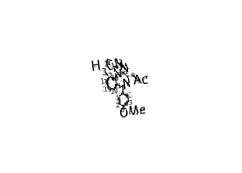 COc1ccc(C2=N[C@@H](CC(C)=O)c3nnc(C)n3-c3ccccc32)cc1